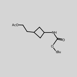 CC(=O)OCCC1CC(NC(=O)OC(C)(C)C)C1